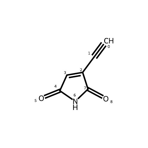 C#CC1=CC(=O)NC1=O